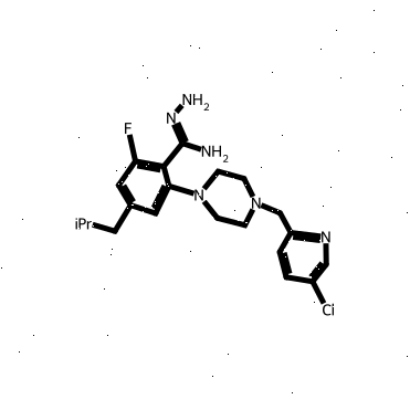 CC(C)Cc1cc(F)c(/C(N)=N/N)c(N2CCN(Cc3ccc(Cl)cn3)CC2)c1